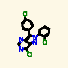 Clc1ccc(-c2c3ncnc(Cl)c3nn2-c2ccccc2Cl)cc1